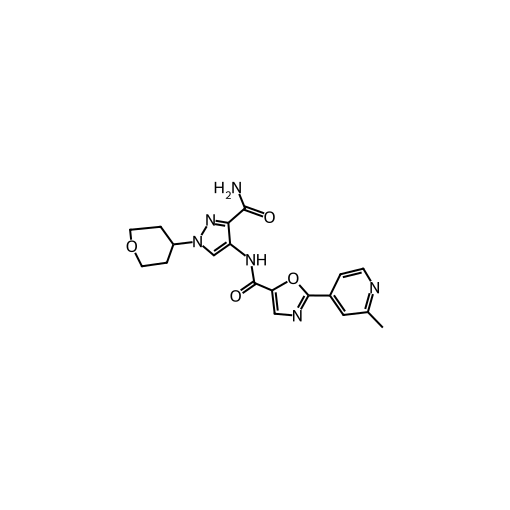 Cc1cc(-c2ncc(C(=O)Nc3cn(C4CCOCC4)nc3C(N)=O)o2)ccn1